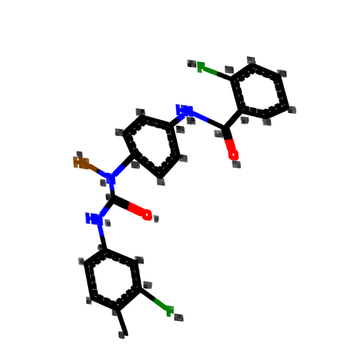 Cc1ccc(NC(=O)N(S)c2ccc(NC(=O)c3ccccc3F)cc2)cc1F